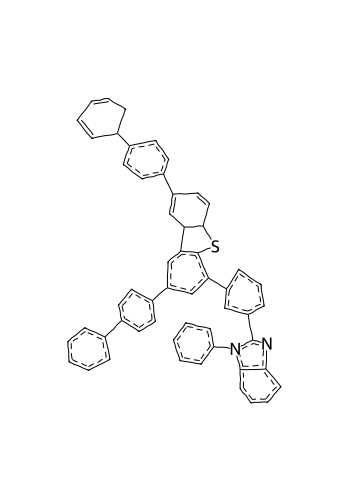 C1=CCC(c2ccc(C3=CC4c5cc(-c6ccc(-c7ccccc7)cc6)cc(-c6cccc(-c7nc8ccccc8n7-c7ccccc7)c6)c5SC4C=C3)cc2)C=C1